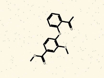 COC(=O)c1ccc(Oc2ccccc2C(C)=O)c(OC)c1